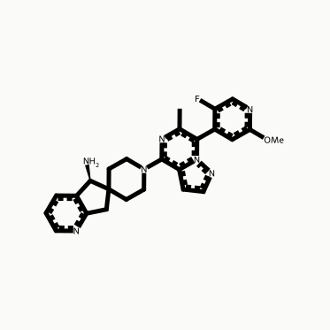 COc1cc(-c2c(C)nc(N3CCC4(CC3)Cc3ncccc3[C@H]4N)c3ccnn23)c(F)cn1